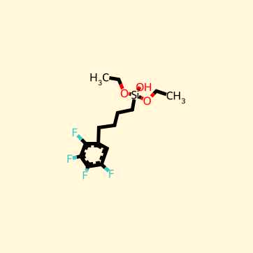 CCO[Si](O)(CCCCc1cc(F)c(F)c(F)c1F)OCC